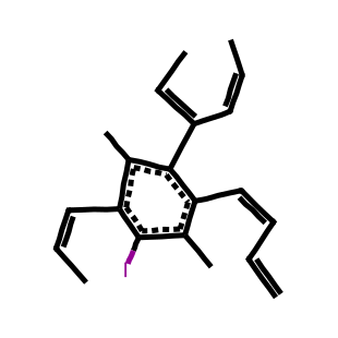 C=C/C=C\c1c(C)c(I)c(/C=C\C)c(C)c1C(/C=C\C)=C/C